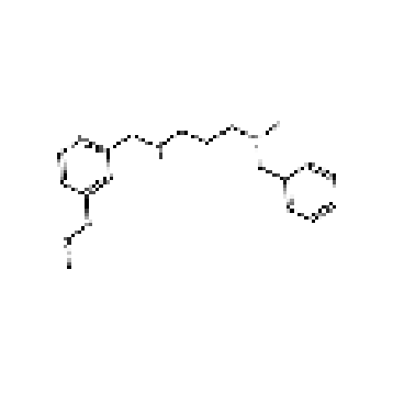 CNCc1ccnc(CNCCCN(C)Cc2ccccc2)c1